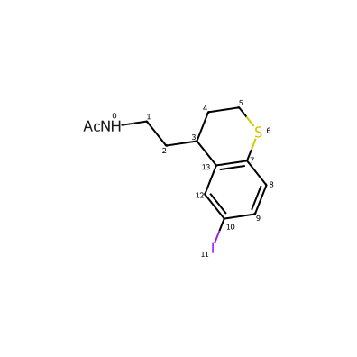 CC(=O)NCCC1CCSc2ccc(I)cc21